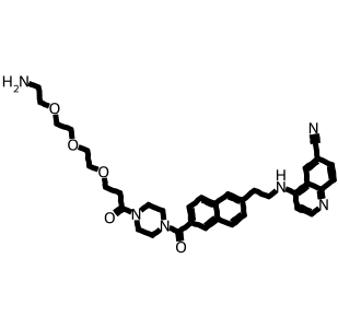 N#Cc1ccc2nccc(NCCc3ccc4cc(C(=O)N5CCN(C(=O)CCOCCOCCOCCN)CC5)ccc4c3)c2c1